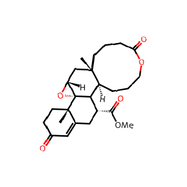 COC(=O)[C@@H]1CC2=CC(=O)CC[C@]2(C)[C@@]23O[C@@H]2C[C@]2(C)CCCC(=O)OCCC[C@H]2C13